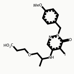 COc1ccc(Cn2ncc(NC(C)COCCC(=O)O)c(I)c2=O)cc1